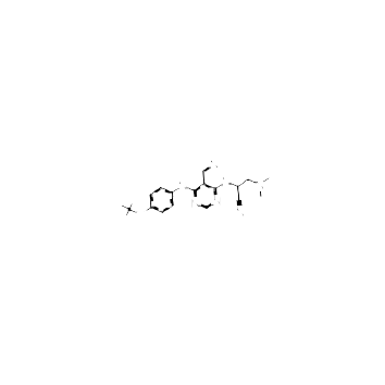 CN(C)CC(C#N)Nc1ncnc(Nc2ccc(OC(F)(F)F)cc2)c1C=N